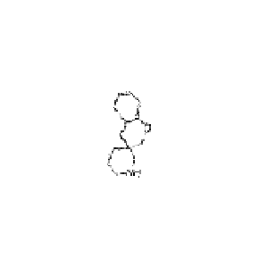 C1=CCC2CC3(CCCNC3)COC2=C1